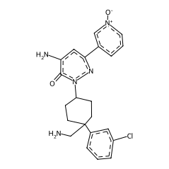 NCC1(c2cccc(Cl)c2)CCC(n2nc(-c3ccc[n+]([O-])c3)cc(N)c2=O)CC1